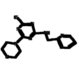 Clc1nc(NCc2ccccn2)nc(N2CCOCC2)n1